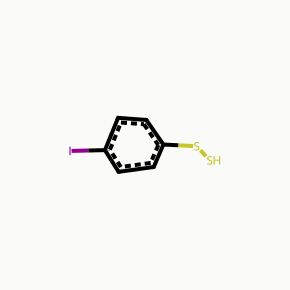 SSc1ccc(I)cc1